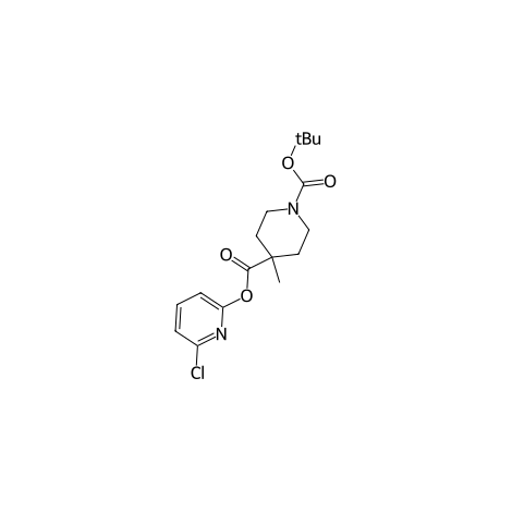 CC(C)(C)OC(=O)N1CCC(C)(C(=O)Oc2cccc(Cl)n2)CC1